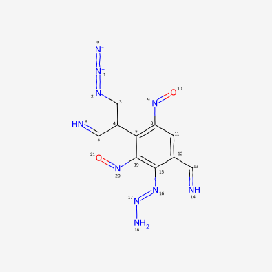 [N-]=[N+]=NCC(C=N)c1c(N=O)cc(C=N)c(N=NN)c1N=O